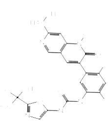 C[AsH]c1cc2c(cn1)cc(-c1cc(NC(=O)Nc3cnc(C(C)(C)C)o3)c(F)cc1Cl)c(=O)n2C